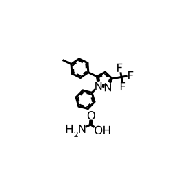 Cc1ccc(-c2cc(C(F)(F)F)nn2-c2ccccc2)cc1.NC(=O)O